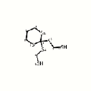 SCSC1(SCS)SCCCS1